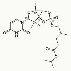 CC(CCC(=O)OC(C)C)CO[P@]1(=O)OC2[C@H]3O[C@@H](n4ccc(=O)[nH]c4=O)C(C)(C)[C@@]23O1